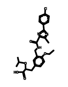 CCOc1ccc(CC(OC(C)C)C(=O)O)cc1CNC(=O)c1nc(-c2ccc(Cl)cc2)sc1C